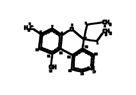 CCC1(CC)Oc2cc(C)cc(O)c2-c2ccncc21